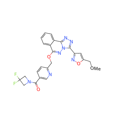 COCc1cc(-c2nnc3c4ccccc4c(OCc4ccc(C(=O)N5CC(F)(F)C5)cn4)nn23)no1